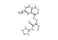 CCN(CCN1CCSc2ccc(N)cc21)C(=O)CC1CCCC1